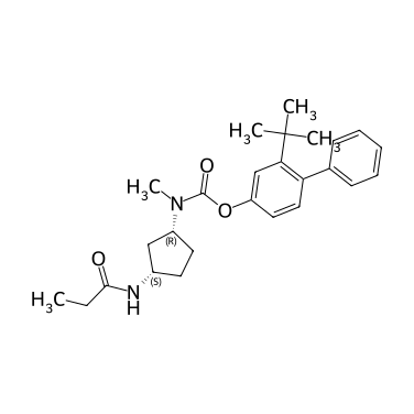 CCC(=O)N[C@H]1CC[C@@H](N(C)C(=O)Oc2ccc(-c3ccccc3)c(C(C)(C)C)c2)C1